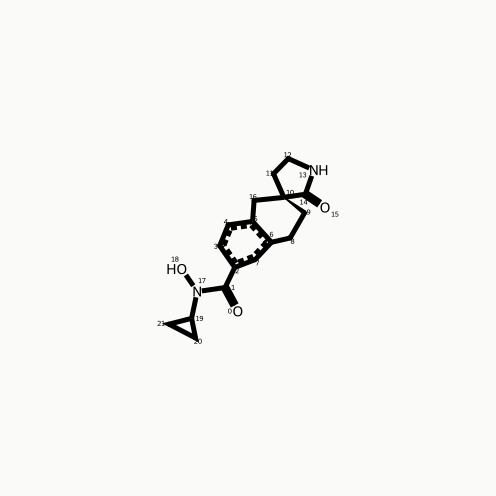 O=C(c1ccc2c(c1)CC[C@]1(CCNC1=O)C2)N(O)C1CC1